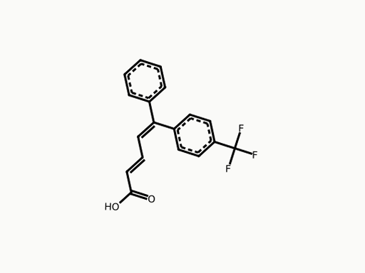 O=C(O)/C=C/C=C(/c1ccccc1)c1ccc(C(F)(F)F)cc1